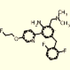 CN(C)Cc1[c]c(Cc2c(F)cccc2F)cc(-c2ccc(OCCF)cn2)c1N